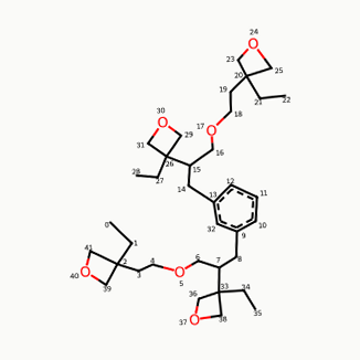 CCC1(CCOCC(Cc2cccc(CC(COCCC3(CC)COC3)C3(CC)COC3)c2)C2(CC)COC2)COC1